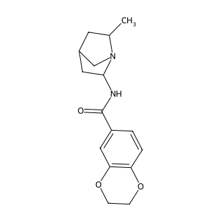 CC1CC2CC(NC(=O)c3ccc4c(c3)OCCO4)N1C2